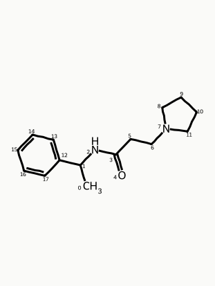 CC(NC(=O)CCN1CCCC1)c1ccccc1